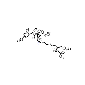 CCOC(=O)[C@@]1(NC(=O)C2C[C@@H](O)CN2)C[C@H]1/C=C\CCCCC[C@H](NC(=O)C(F)(F)F)C(=O)O